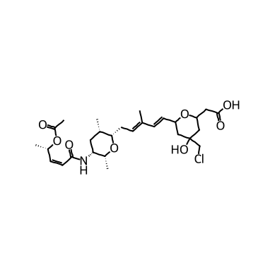 CC(=O)O[C@@H](C)/C=C\C(=O)N[C@@H]1C[C@H](C)[C@H](C/C=C(C)/C=C/C2CC(O)(CCl)CC(CC(=O)O)O2)O[C@@H]1C